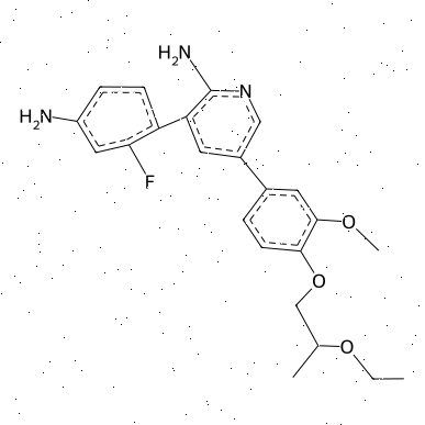 CCOC(C)COc1ccc(-c2cnc(N)c(-c3ccc(N)cc3F)c2)cc1OC